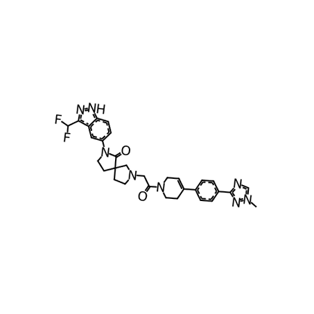 Cn1cnc(-c2ccc(C3=CCN(C(=O)CN4CCC5(CCN(c6ccc7[nH]nc(C(F)F)c7c6)C5=O)C4)CC3)cc2)n1